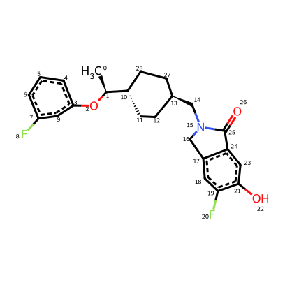 C[C@H](Oc1cccc(F)c1)[C@H]1CC[C@H](CN2Cc3cc(F)c(O)cc3C2=O)CC1